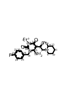 CCn1c(=O)c(C(=O)CN2CCCCC2C(C)C)c(N)n(Cc2ccc(F)cc2)c1=O